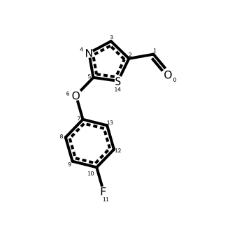 O=Cc1cnc(Oc2ccc(F)cc2)s1